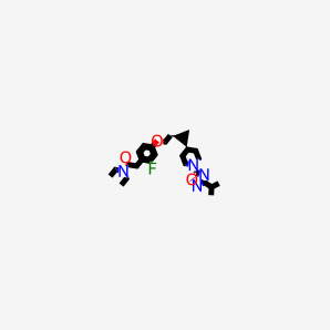 CCN(CC)C(=O)Cc1ccc(OCC[C@@H]2C[C@@H]2C2CCN(c3nc(C(C)C)no3)CC2)cc1F